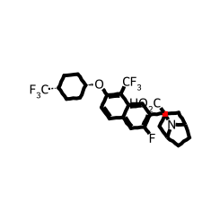 O=C(O)C1CC2CCC(C1)N2Cc1cc2c(C(F)(F)F)c(O[C@H]3CC[C@@H](C(F)(F)F)CC3)ccc2cc1F